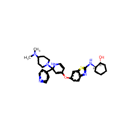 CN(C)C1CCN(C2(c3ccncc3)C=C(Oc3ccc4nc(N[C@@H]5CCCC[C@H]5O)sc4c3)C=CN2)CC1